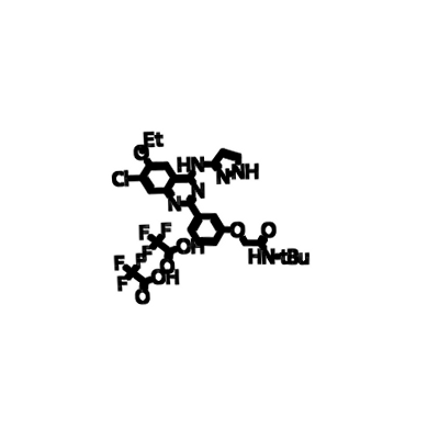 CCOc1cc2c(Nc3cc[nH]n3)nc(-c3cccc(OCC(=O)NC(C)(C)C)c3)nc2cc1Cl.O=C(O)C(F)(F)F.O=C(O)C(F)(F)F